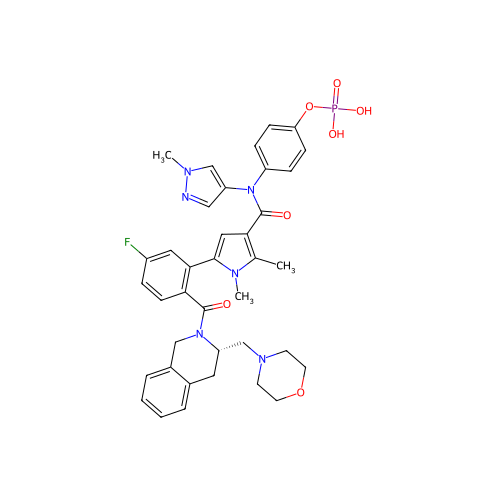 Cc1c(C(=O)N(c2ccc(OP(=O)(O)O)cc2)c2cnn(C)c2)cc(-c2cc(F)ccc2C(=O)N2Cc3ccccc3C[C@H]2CN2CCOCC2)n1C